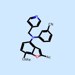 COc1ccc(N(Cc2ccncc2)c2cccc(C#N)c2)c2cc(C(C)=O)oc12